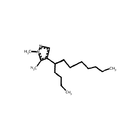 CCCCCCCC(CCCC)c1cnn(C)c1C